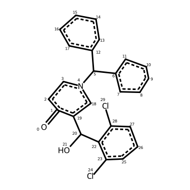 O=c1ccn(C(c2ccccc2)c2ccccc2)cc1C(O)c1c(Cl)cccc1Cl